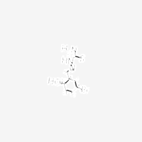 NC(=S)NN=Cc1cc(Br)ccc1O